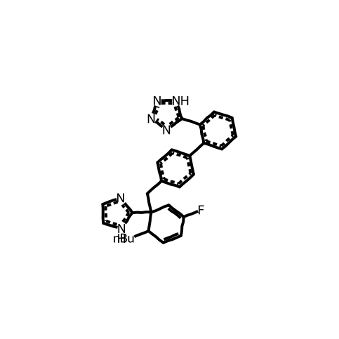 CCCCC1C=CC(F)=CC1(Cc1ccc(-c2ccccc2-c2nnn[nH]2)cc1)c1ncc[nH]1